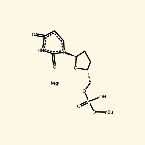 CCCCOP(=O)(O)OC[C@H]1CC[C@H](n2ccc(=O)[nH]c2=O)O1.[Mg]